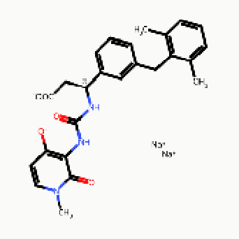 Cc1cccc(C)c1Cc1cccc([C@H](CC(=O)[O-])NC(=O)Nc2c([O-])ccn(C)c2=O)c1.[Na+].[Na+]